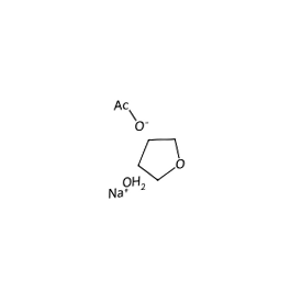 C1CCOC1.CC(=O)[O-].O.[Na+]